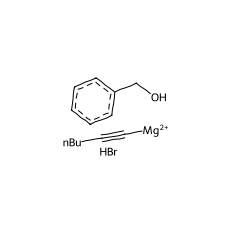 Br.CCCCC#[C][Mg+2].OCc1ccccc1